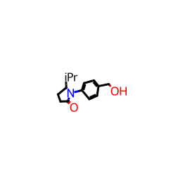 CC(C)C1CCC(=O)N1c1ccc(CO)cc1